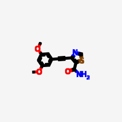 COc1cc(C#Cc2ncsc2C(N)=O)cc(OC)c1